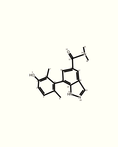 Cc1ccc(O)c(C)c1-c1cc(C(=O)N(C)C)cc2cn[nH]c12